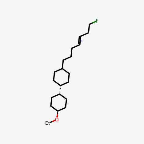 CCO[C@H]1CC[C@H](C2CCC(CCC/C=C/CCF)CC2)CC1